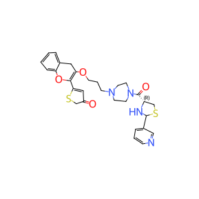 O=C1C=C(C2=C(OCCCN3CCN(C(=O)[C@@H]4CSC(c5cccnc5)N4)CC3)Cc3ccccc3O2)SC1